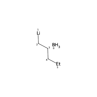 B.[Li][CH2]CCCC